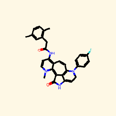 Cc1ccc(C)c(CC(=O)NC2=c3ccc4c5c([nH]c(=O)c-5c3N(C)C=C2)=CCN4c2ccc(F)cc2)c1